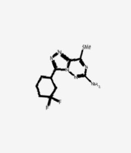 CSc1nc(N)nn2c(C3CCCC(F)(F)C3)nnc12